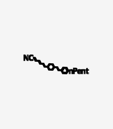 CCCCCc1ccc(CCC2CCC(CCC=CC=CC#N)CC2)cc1